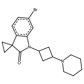 O=C1N(C2CC(N3CCCCC3)C2)c2cc(Br)ccc2C12CC2